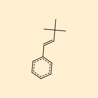 CC(C)(C)C=Cc1c[c]ccc1